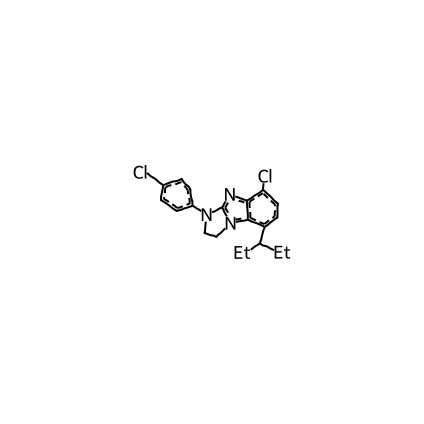 CCC(CC)c1ccc(Cl)c2nc3n(c12)CCN3c1ccc(Cl)cc1